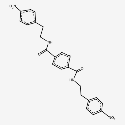 O=C(NCCc1ccc([N+](=O)[O-])cc1)c1ccc(C(=O)NCCc2ccc([N+](=O)[O-])cc2)nc1